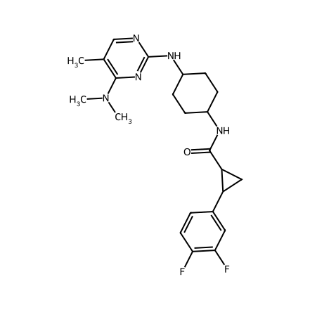 Cc1cnc(NC2CCC(NC(=O)C3CC3c3ccc(F)c(F)c3)CC2)nc1N(C)C